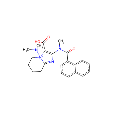 CN(C(=O)c1cccc2ccccc12)C1=C(C(=O)O)[N+]2(N(C)C)CCCCC2=N1